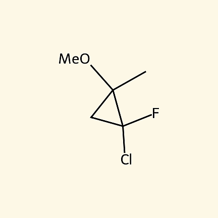 COC1(C)CC1(F)Cl